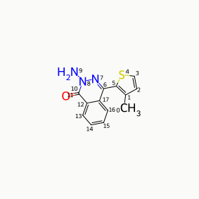 Cc1ccsc1-c1nn(N)c(=O)c2ccccc12